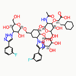 CC(=O)NC1C(O[C@@H](CC2CCCCC2)C(=O)O)[C@@H](O)C(CO)O[C@H]1O[C@@H]1CC(CO[C@H]2OC(CO)[C@@H](O)C(n3cc(-c4cccc(F)c4)nn3)C2O)CC(n2cc(-c3cccc(F)c3)nn2)C1O[C@@H]1OC(C)[C@@H](O)C(O)C1O